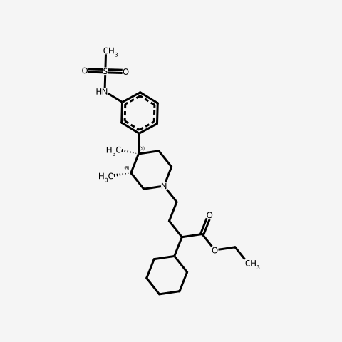 CCOC(=O)C(CCN1CC[C@](C)(c2cccc(NS(C)(=O)=O)c2)[C@@H](C)C1)C1CCCCC1